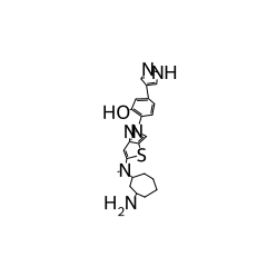 CN(c1cc2nn(-c3ccc(-c4cn[nH]c4)cc3O)cc2s1)C1CCCCC(N)C1